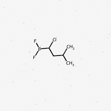 CC(C)CC(Cl)B(F)F